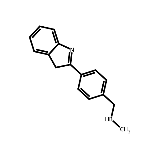 CBCc1ccc(C2=Nc3ccccc3C2)cc1